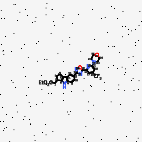 CCOC(=O)CC1CCc2c1[nH]c1ccc(-c3noc(-c4cc(C(F)(F)F)cc(N5CCOCC5)n4)n3)cc21